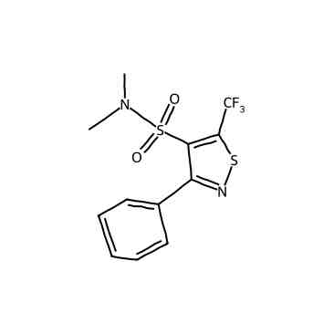 CN(C)S(=O)(=O)c1c(-c2ccccc2)nsc1C(F)(F)F